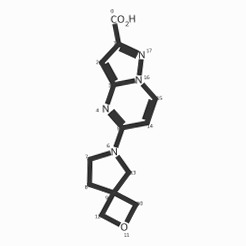 O=C(O)c1cc2nc(N3CCC4(COC4)C3)ccn2n1